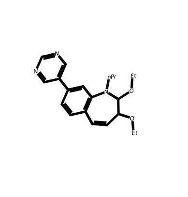 CCCN1c2cc(-c3cncnc3)ccc2C=CC(OCC)C1OCC